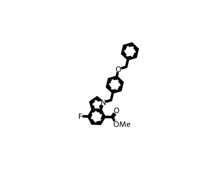 COC(=O)c1ccc(F)c2ccn(Cc3ccc(OCc4ccccc4)cc3)c12